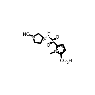 Cn1c(C(=O)O)ccc1S(=O)(=O)N[C@@H]1CCN(C#N)C1